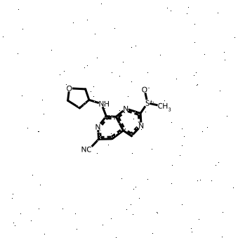 C[S+]([O-])c1ncc2cc(C#N)nc(NC3CCOC3)c2n1